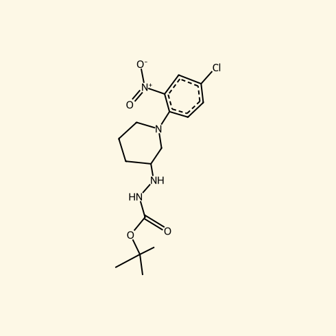 CC(C)(C)OC(=O)NNC1CCCN(c2ccc(Cl)cc2[N+](=O)[O-])C1